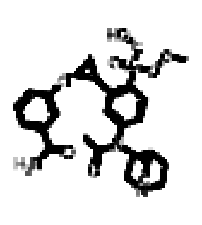 COO[As](=O)(OO)c1ccc(N(C(C)=O)C2CN3CCC2CC3)cc1C1CC1.NC(=O)c1cccc(Cl)c1